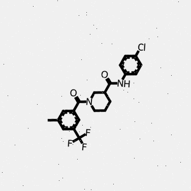 Cc1cc(C(=O)N2CCCC(C(=O)Nc3ccc(Cl)cc3)C2)cc(C(F)(F)F)c1